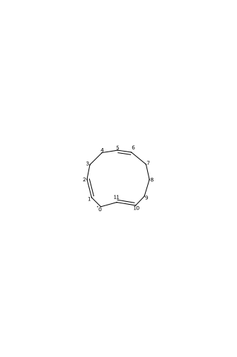 [CH]1/C=C\CC/C=C\CCC/C=C/1